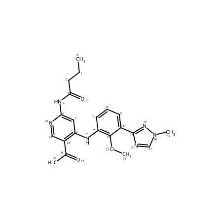 CCCC(=O)Nc1cc(Nc2cccc(-c3ncn(C)n3)c2OC)c(C(C)=O)cn1